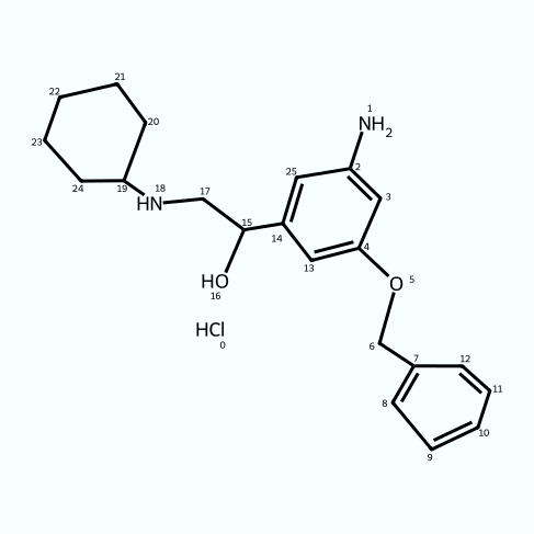 Cl.Nc1cc(OCc2ccccc2)cc(C(O)CNC2CCCCC2)c1